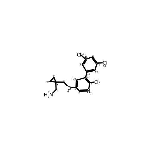 NCC1(COc2cnc(Cl)c(-c3cc(Cl)cc(Cl)c3)c2)CC1